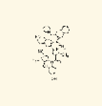 Cc1c(N(C(=O)c2cc(-c3cc4c(cc3C(=O)N3Cc5ccccc5C[C@H]3CN3CCCC3)CNCC4)n(C)c2C)c2ccc(O)cc2)cc(C#N)n1C